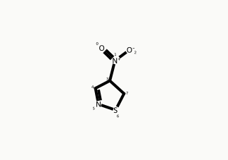 O=[N+]([O-])C1[C]=NSC1